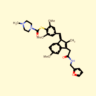 COc1ccc2c(c1)C(CC(=O)NCc1ccco1)=C(C)/C2=C/c1cc(OC)c(SC(=O)N2CCN(C)CC2)c(OC)c1